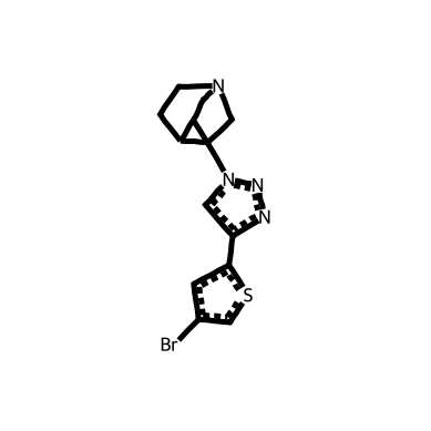 Brc1csc(-c2cn(C3CN4CCC3CC4)nn2)c1